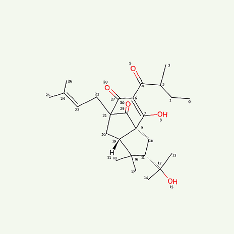 CCC(C)C(=O)C1=C(O)[C@@]23C[C@H](C(C)(C)O)C(C)(C)[C@@H]2CC(CC=C(C)C)(C1=O)C3=O